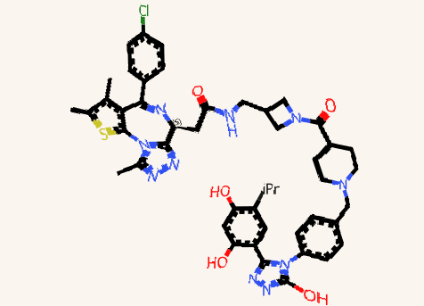 Cc1sc2c(c1C)C(c1ccc(Cl)cc1)=N[C@@H](CC(=O)NCC1CN(C(=O)C3CCN(Cc4ccc(-n5c(O)nnc5-c5cc(C(C)C)c(O)cc5O)cc4)CC3)C1)c1nnc(C)n1-2